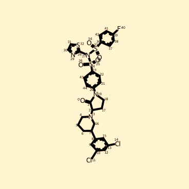 O=C1C(N2CCCC(c3cc(Cl)cc(Cl)c3)C2)CCN1c1ccc(S(=O)(=O)N(c2nccs2)S(=O)(=O)c2ccc(F)cc2)cc1